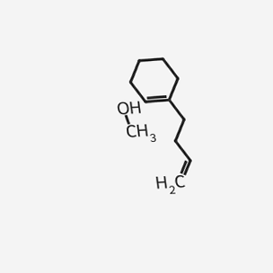 C=CCCC1=CCCCC1.CO